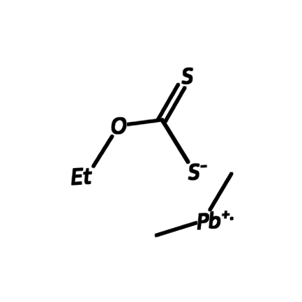 CCOC(=S)[S-].[CH3][Pb+][CH3]